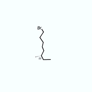 CC[C@H](C)CCCCCBr